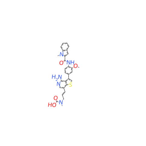 COc1cc(-c2csc3c(/C=C/CN(C)C(=O)O)cnc(N)c23)ccc1NC(=O)c1cc2ccccc2n1C